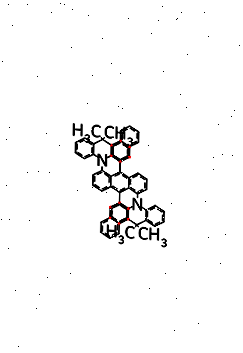 CC1(C)c2ccccc2N(c2cccc3c(-c4ccc5ccccc5c4)c4c(N5c6ccccc6C(C)(C)c6ccccc65)cccc4c(-c4ccc5ccccc5c4)c23)c2ccccc21